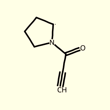 C#CC(=O)N1[CH]CCC1